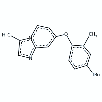 Cc1cc(C(C)(C)C)ccc1Oc1ccn2c(C)cnc2c1